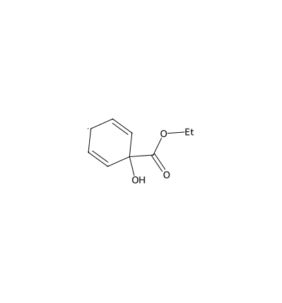 CCOC(=O)C1(O)C=C[CH]C=C1